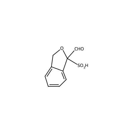 O=CC1(S(=O)(=O)O)OCc2ccccc21